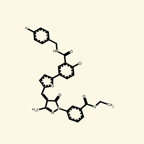 CCOC(=O)c1cccc(N2N=C(C)/C(=C/c3ccc(-c4ccc(Cl)c(C(=O)NCc5ccc(F)cc5)c4)o3)C2=O)c1